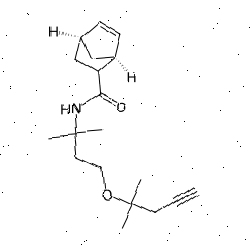 C#CCC(C)(C)OCCC(C)(C)NC(=O)C1C[C@H]2C=C[C@@H]1C2